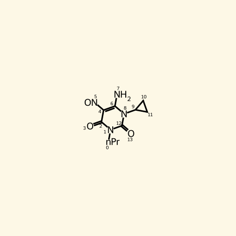 CCCn1c(=O)c(N=O)c(N)n(C2CC2)c1=O